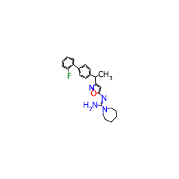 CC(c1ccc(-c2ccccc2F)cc1)c1cc(/N=C(\N)N2CCCCCC2)on1